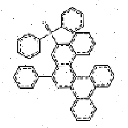 O=P(c1ccccc1)(c1ccccc1)c1cc2c(-c3ccccc3)nc3c4ccccc4c4ccccc4c3c2c2ccccc12